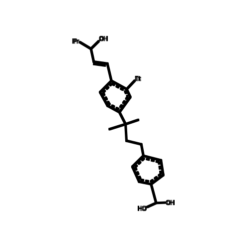 CCc1cc(C(C)(C)CCc2ccc(C(O)O)cc2)ccc1C=CC(O)C(C)C